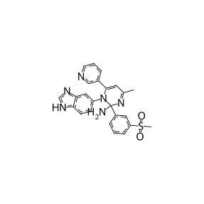 CC1=NC(N)(c2cccc(S(C)(=O)=O)c2)N(c2ccc3[nH]cnc3c2)C(c2cccnc2)=C1